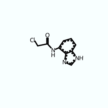 O=C(CCl)Nc1cccc2[nH]cnc12